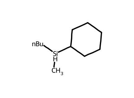 CCCC[SiH](C)C1CCCCC1